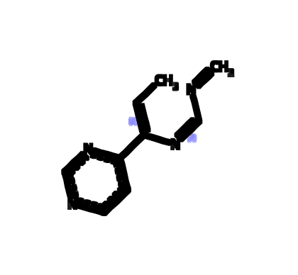 C=N/C=N\C(=C/C)c1ccncn1